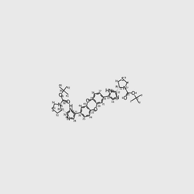 CC(C)(C)OC(=O)N1CSC[C@H]1c1ncc(-c2ccc3c(c2)Oc2ccc(-c4cnc([C@@H]5CSCN5C(=O)OC(C)(C)C)[nH]4)cc2O3)[nH]1